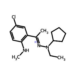 CCN(/N=C(\C)c1cc(Cl)ccc1NC)C1CCCC1